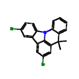 CC1(C)c2ccccc2-n2c3ccc(Br)cc3c3cc(Br)cc1c32